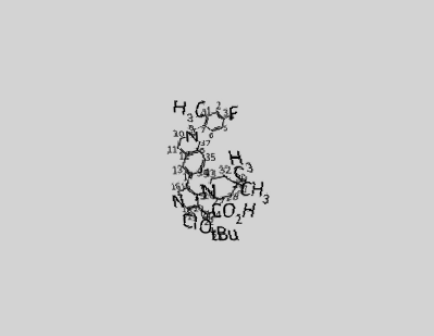 Cc1cc(F)ccc1CN1CCc2cc(-c3cnc(Cl)c([C@H](OC(C)(C)C)C(=O)O)c3N3CCC(C)(C)CC3)ccc2C1